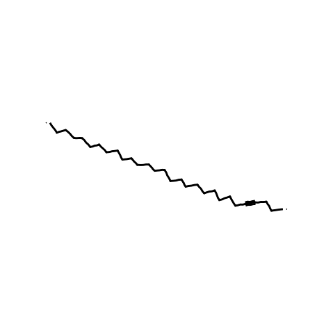 [CH2]CCC#CCCCCCCCCCCCCCCCCCCCCCCC[CH2]